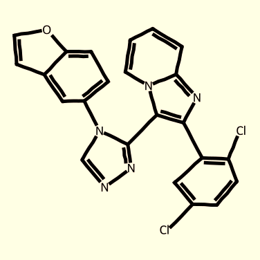 Clc1ccc(Cl)c(-c2nc3ccccn3c2-c2nncn2-c2ccc3occc3c2)c1